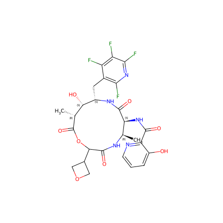 C[C@H]1NC(=O)C(C2COC2)OC(=O)[C@H](C)[C@H](O)[C@H](Cc2c(F)nc(F)c(F)c2F)NC(=O)[C@H]1NC(=O)c1ncccc1O